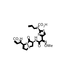 C=CCN(C(=O)O)c1nc(/C(=N/OC)C(=O)N[C@H]2CN3CC=C(C(C=C)C(=O)O)N3C2=O)cs1